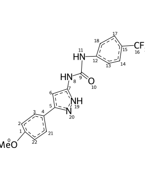 COc1ccc(-c2cc(NC(=O)Nc3ccc(C(F)(F)F)cc3)[nH]n2)cc1